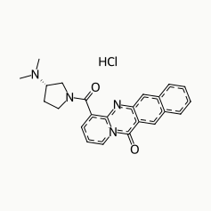 CN(C)[C@H]1CCN(C(=O)c2cccn3c(=O)c4cc5ccccc5cc4nc23)C1.Cl